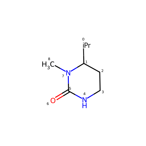 CC(C)C1CCNC(=O)N1C